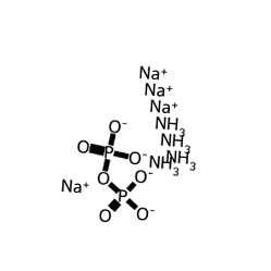 N.N.N.N.O=P([O-])([O-])OP(=O)([O-])[O-].[Na+].[Na+].[Na+].[Na+]